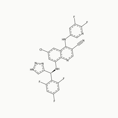 N#Cc1cnc2c(N[C@H](c3c[nH]nn3)c3c(F)cc(F)cc3F)cc(Cl)cc2c1Nc1cnc(F)c(F)c1